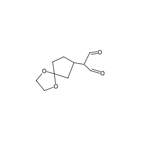 O=CC(C=O)C1CCC2(C1)OCCO2